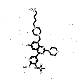 COc1ncc(-c2nc(N3CCOCC3)nc3c(CN4CCN(CCCCC(=O)O)CC4)cc(F)cc23)cc1NS(C)(=O)=O